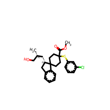 COC(=O)C1(Sc2cccc(Cl)c2)CCC2(CC1)c1ccccc1C[C@@H]2C[C@@H](C)CO